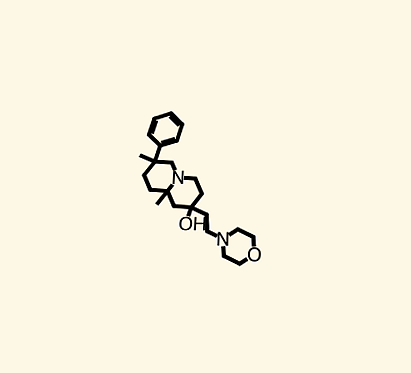 CC1(c2ccccc2)CCC2(C)CC(O)(CCN3CCOCC3)CCN2C1